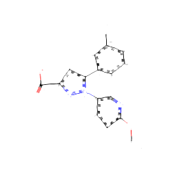 COc1ccc(-n2nc(C(=O)O)cc2-c2cccc(C)c2)cn1